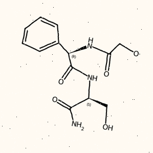 NC(=O)[C@H](CO)NC(=O)[C@H](NC(=O)C[O])c1ccccc1